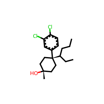 CCCC(CC)[C@]1(c2ccc(Cl)c(Cl)c2)CC[C@@](C)(O)CC1